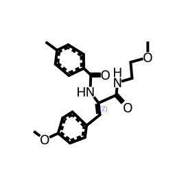 COCCNC(=O)/C(=C/c1ccc(OC)cc1)NC(=O)c1ccc(C)cc1